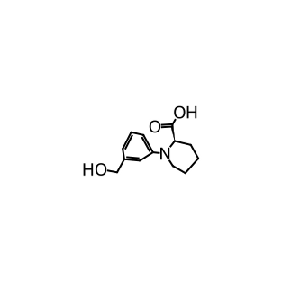 O=C(O)[C@H]1CCCCN1c1cccc(CO)c1